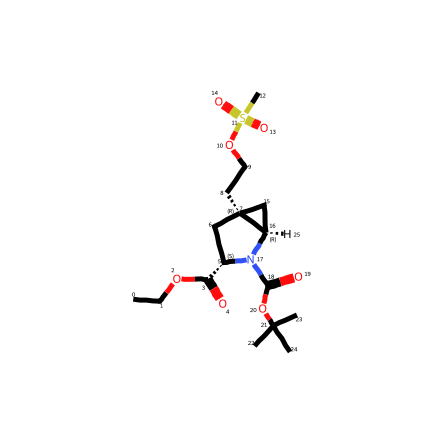 CCOC(=O)[C@@H]1C[C@@]2(CCOS(C)(=O)=O)C[C@H]2N1C(=O)OC(C)(C)C